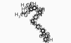 CNC(=O)COc1cc2cc(Nc3nc(N4CCC(N5CCC56CN(C5CCN(c7ccc8c(c7)C(=O)N(C7CCC(=O)NC7=O)C8=O)CC5)C6)CC4)ncc3Cl)ccc2n(C(C)C)c1=O